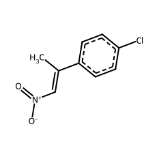 CC(=C[N+](=O)[O-])c1ccc(Cl)cc1